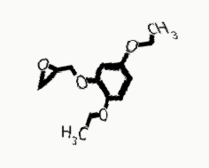 CCOc1ccc(OCC)c(OCC2CO2)c1